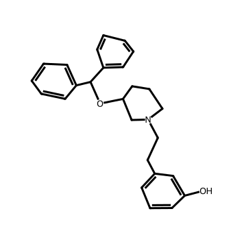 Oc1cccc(CCN2CCCC(OC(c3ccccc3)c3ccccc3)C2)c1